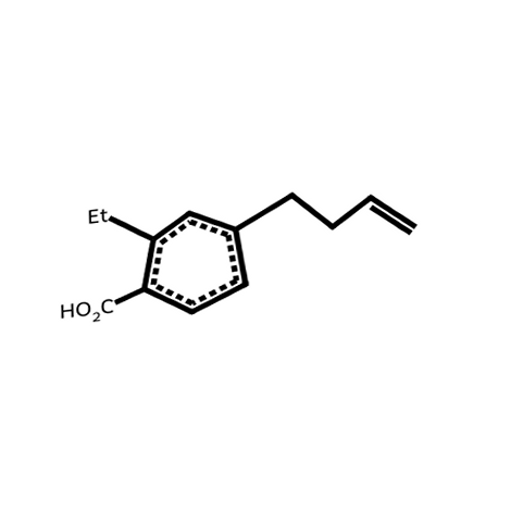 C=CCCc1ccc(C(=O)O)c(CC)c1